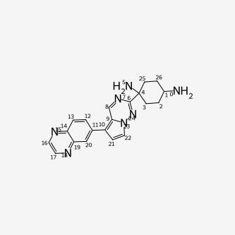 NC1CCC(N)(c2ncc3c(-c4ccc5nccnc5c4)ccn3n2)CC1